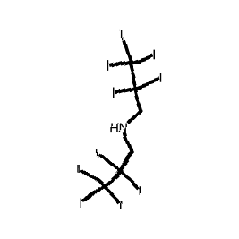 IC(I)(I)C(I)(I)CNCC(I)(I)C(I)(I)I